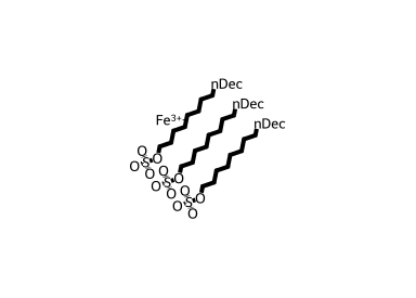 CCCCCCCCCCCCCCCCCCOS(=O)(=O)[O-].CCCCCCCCCCCCCCCCCCOS(=O)(=O)[O-].CCCCCCCCCCCCCCCCCCOS(=O)(=O)[O-].[Fe+3]